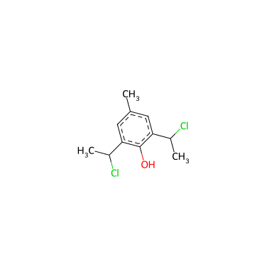 Cc1cc(C(C)Cl)c(O)c(C(C)Cl)c1